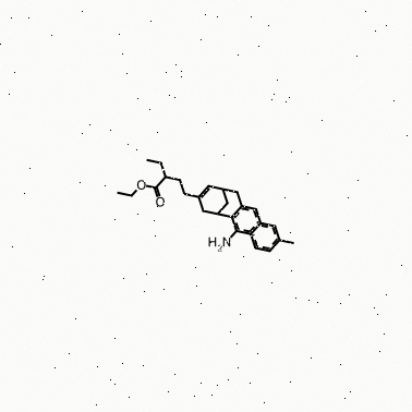 CCOC(=O)C(CC)CCC1=CC2Cc3cc4cc(C)ccc4c(N)c3C(C1)C2